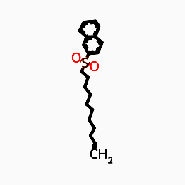 C=CCCCCCCCCCS(=O)(=O)c1ccc2ccccc2c1